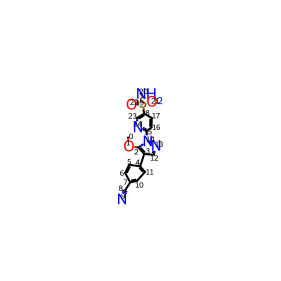 COc1c(-c2ccc(C#N)cc2)cnn1-c1ccc(S(N)(=O)=O)cn1